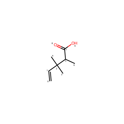 C=CC(C)(C)C(C)C(=O)O